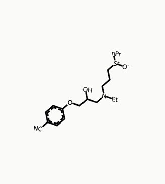 CCC[S+]([O-])CCCN(CC)CC(O)COc1ccc(C#N)cc1